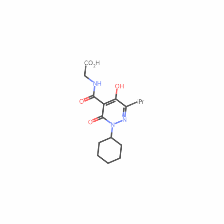 CC(C)c1nn(C2CCCCC2)c(=O)c(C(=O)NCC(=O)O)c1O